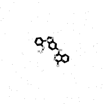 COc1ccccc1-n1cnc2cc(Nc3nnc(Cl)c4ccccc34)ccc21